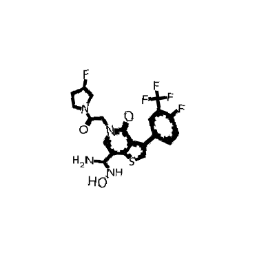 NC(NO)c1cn(CC(=O)N2CCC(F)C2)c(=O)c2c(-c3ccc(F)c(C(F)(F)F)c3)csc12